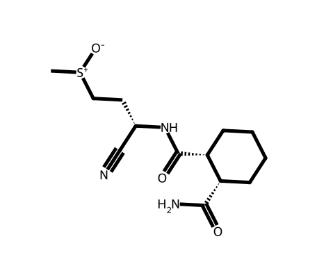 C[S+]([O-])CC[C@@H](C#N)NC(=O)[C@@H]1CCCC[C@@H]1C(N)=O